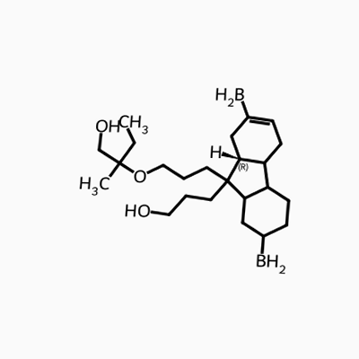 BC1=CCC2C3CCC(B)CC3C(CCCO)(CCCOC(C)(CC)CO)[C@@H]2C1